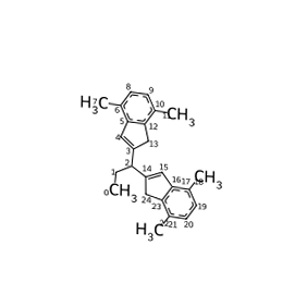 CCC(C1=Cc2c(C)ccc(C)c2C1)C1=Cc2c(C)ccc(C)c2C1